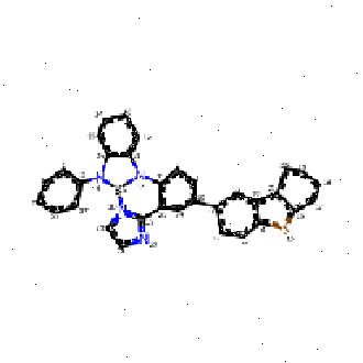 c1ccc(N2B3N(c4ccc(-c5ccc6sc7ccccc7c6c5)cc4-c4nccn43)c3ccccc32)cc1